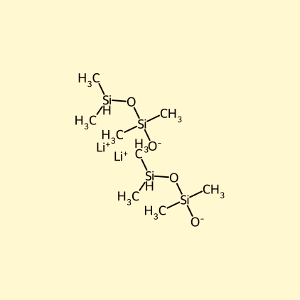 C[SiH](C)O[Si](C)(C)[O-].C[SiH](C)O[Si](C)(C)[O-].[Li+].[Li+]